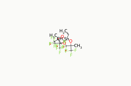 C=[CH][Sn]([O]C(C)(C(F)(F)F)C(F)(F)F)([O]C(C)(C(F)(F)F)C(F)(F)F)[O]C(C)(C(F)(F)F)C(F)(F)F